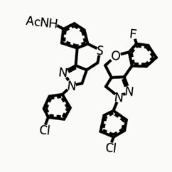 CC(=O)Nc1ccc2c(c1)C1=NN(c3ccc(Cl)cc3)CC1CS2.Fc1cccc2c1OCC1CN(c3ccc(Cl)cc3)N=C21